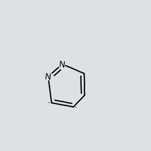 [c]1[c]nncc1